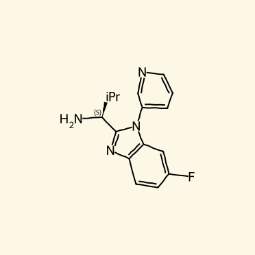 CC(C)[C@H](N)c1nc2ccc(F)cc2n1-c1cccnc1